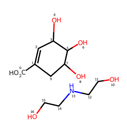 O=C(O)C1=CC(O)C(O)C(O)C1.OCCNCCO